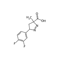 CC1(C(=O)O)CC(c2ccc(F)c(F)c2)N=N1